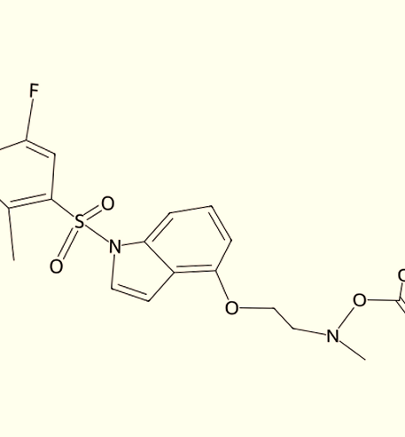 Cc1ccc(F)cc1S(=O)(=O)n1ccc2c(OCCN(C)OC(=O)C(F)(F)F)cccc21